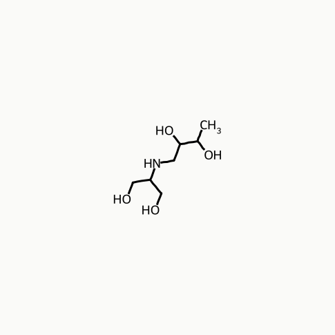 CC(O)C(O)CNC(CO)CO